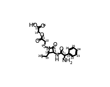 NC(C(=O)NC1C(=O)N(SCC(=O)OCC(=O)O)C1CI)c1ccccc1